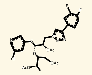 CC(=O)OCC(O[C@H](Sc1cncc(Cl)c1)[C@@H](Cn1cc(-c2ccc(F)c(F)c2)nn1)OC(C)=O)[C@@H](C)OC(C)=O